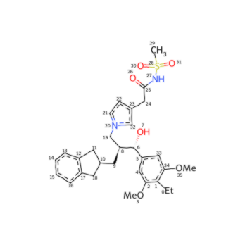 CCc1c(OC)cc([C@@H](O)[C@@H](CC2Cc3ccccc3C2)Cn2ccc(CC(=O)NS(C)(=O)=O)c2)cc1OC